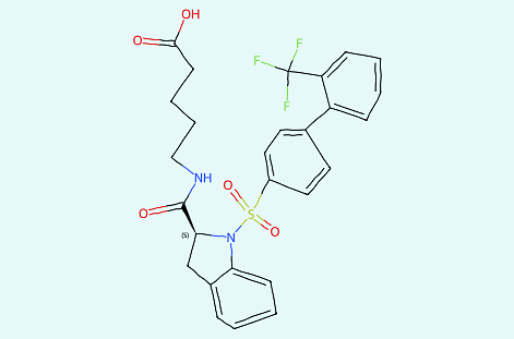 O=C(O)CCCCNC(=O)[C@@H]1Cc2ccccc2N1S(=O)(=O)c1ccc(-c2ccccc2C(F)(F)F)cc1